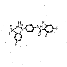 CN(c1ccc(NC(=O)c2c(F)cc(F)cc2F)cc1)c1ccc(F)cc1C(F)(F)F